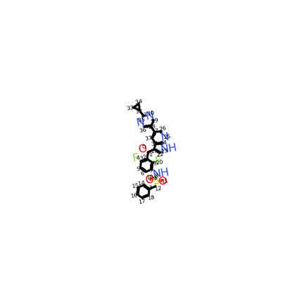 O=C(c1c(F)ccc(NS(=O)(=O)Cc2ccccc2)c1F)c1c[nH]c2ncc(-c3cnc(C4CC4)nc3)cc12